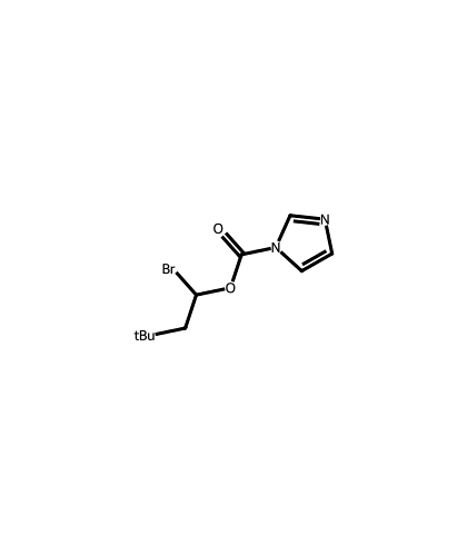 CC(C)(C)CC(Br)OC(=O)n1ccnc1